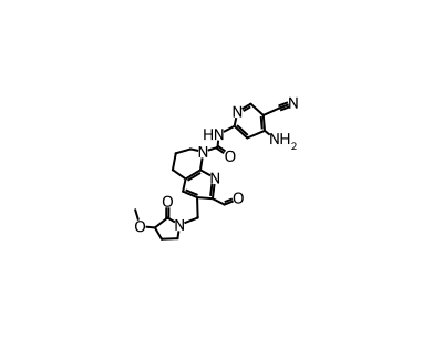 COC1CCN(Cc2cc3c(nc2C=O)N(C(=O)Nc2cc(N)c(C#N)cn2)CCC3)C1=O